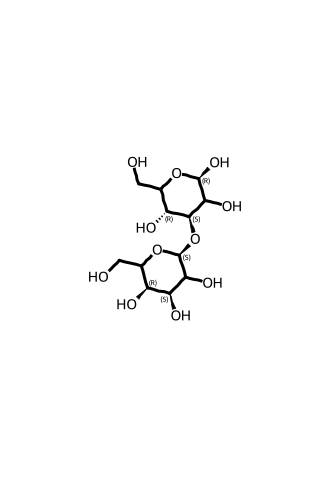 OCC1O[C@@H](O)C(O)[C@@H](O[C@@H]2OC(CO)[C@H](O)[C@H](O)C2O)[C@@H]1O